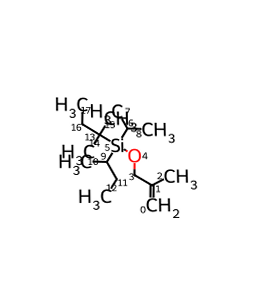 C=C(C)CO[Si](C(C)C)(C(C)CC)C(C)(C)CC